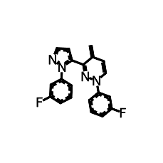 C=C1C=CN(c2cccc(F)c2)N=C1c1ccnn1-c1cccc(F)c1